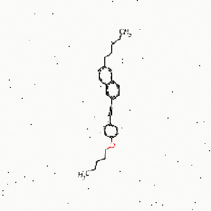 CCCCCOc1ccc(C#Cc2ccc3cc(CCCCC)ccc3c2)cc1